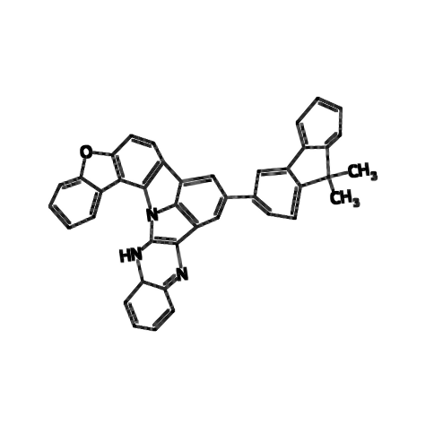 CC1(C)c2ccccc2-c2cc(-c3cc4c5c(n6c4c(c3)c3ccc4oc7ccccc7c4c36)NC3C=CC=CC3=N5)ccc21